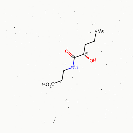 CSCC[C@@H](O)C(=O)NCCC(=O)O